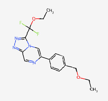 CCOCc1ccc(-c2cn3c(C(F)(F)OCC)nnc3cn2)cc1